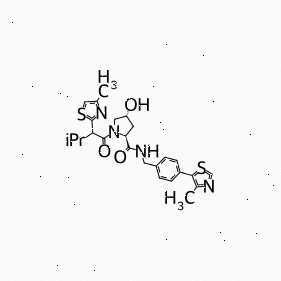 Cc1csc(C(C(=O)N2C[C@H](O)C[C@H]2C(=O)NCc2ccc(-c3scnc3C)cc2)C(C)C)n1